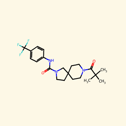 CC(C)(C)C(=O)N1CCC2(CCN(C(=O)Nc3ccc(C(F)(F)F)cc3)C2)CC1